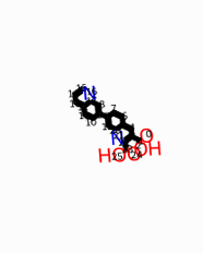 O=C(O)c1cc2ccc(-c3ccc4cccnc4c3)cc2nc1C(=O)O